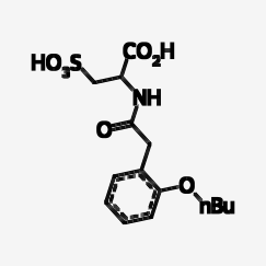 CCCCOc1ccccc1CC(=O)NC(CS(=O)(=O)O)C(=O)O